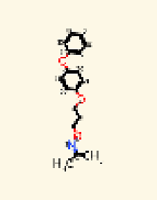 CC(C)=NOCCCOc1ccc(Oc2ccccc2)cc1